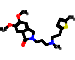 COc1cc2c(cc1OC)C(=O)N(CCCN(C)CCc1ccc(C)s1)C2